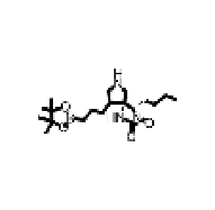 CCCC[C@H](N=O)[C@]1(NC(C)=O)CNCC1CCCB1OC(C)(C)C(C)(C)O1